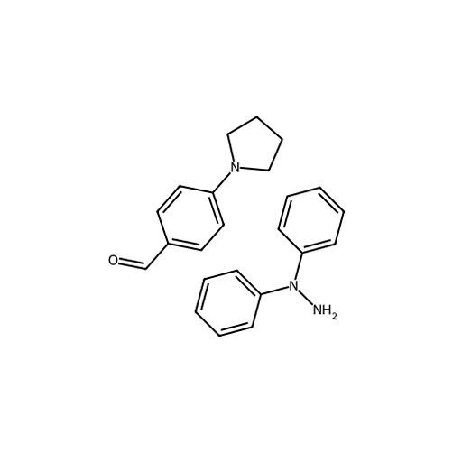 NN(c1ccccc1)c1ccccc1.O=Cc1ccc(N2CCCC2)cc1